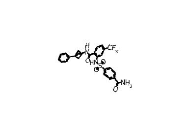 NC(=O)c1ccc(S(=O)(=O)Nc2cc(C(F)(F)F)ccc2C(=O)NC23CC(c4ccccc4)(C2)C3)cc1